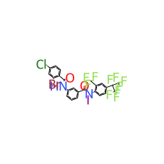 O=C(Nc1cccc(C(=O)N(I)c2ccc(C(F)(C(F)(F)F)C(F)(F)F)cc2C(F)(F)F)c1)c1ccc(Cl)cc1Br